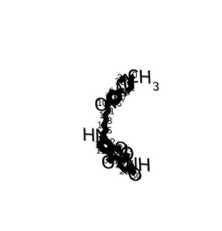 CN1CCN(C2CCN(C(=O)CCCCCNc3ccc4c(c3)C(=O)N(C3CCC(=O)NC3=O)C4=O)CC2)CC1